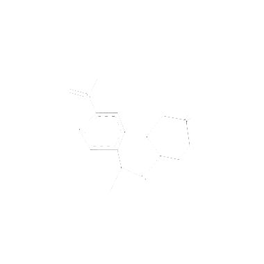 CC(NC1CCC(=O)CC1)c1ccc([N+](=O)[O-])cc1